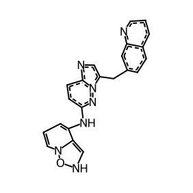 C1=CN2ONC=C2C(Nc2ccc3ncc(Cc4ccc5cccnc5c4)n3n2)=C1